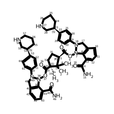 CC1(C)[C@H](C(=O)ON2c3c(cccc3C(N)=O)CN2c2ccc([C@@H]3CCCNC3)cc2)CC[C@]1(C)C(=O)ON1c2c(cccc2C(N)=O)CN1c1ccc([C@@H]2CCCNC2)cc1